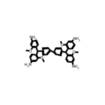 COc1cc(N)ccc1C(c1ccc(-c2ccc(C(c3ccc(N)cc3OC)c3ccc(N)cc3OC)cc2)cc1)c1ccc(N)cc1OC